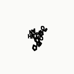 C=CC(=O)N1C[C@H](F)[C@H](Oc2nc(Nc3ncc(C)s3)cc3c2ccn3C2CCCC2)C1